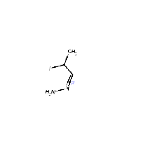 CC(I)/C=N\N